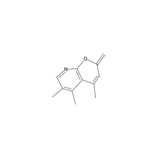 C=C1C=C(C)c2c(ncc(C)c2C)O1